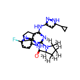 [2H]C1([2H])N(c2nc3c(c(Nc4cc(C5CC5)[nH]n4)n2)CCC3)[C@]([2H])(C(=O)Nc2ccc(F)nc2)C([2H])([2H])C1([2H])[2H]